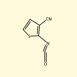 N#Cc1ccsc1N=C=O